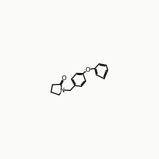 O=C1CCCN1Cc1ccc(Oc2ccccc2)cc1